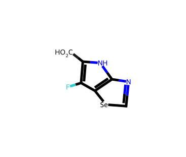 O=C(O)c1[nH]c2nc[se]c2c1F